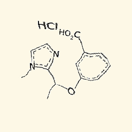 CC(Oc1cccc(C(=O)O)c1)c1nccn1C.Cl